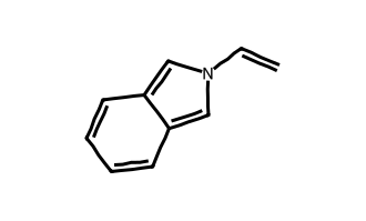 C=Cn1cc2ccccc2c1